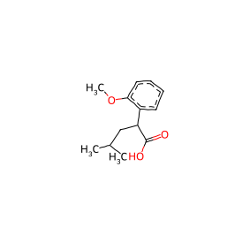 COc1ccccc1C(CC(C)C)C(=O)O